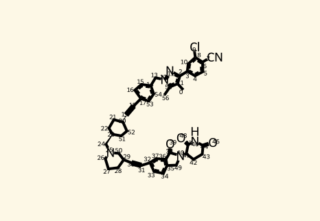 Cc1c(-c2ccc(C#N)c(Cl)c2)nn(Cc2ccc(C#C[C@H]3CC[C@H](CN4CCCC(C#Cc5ccc6c(c5)C(=O)N(C5CCC(=O)NC5=O)C6)C4)CC3)cc2)c1C